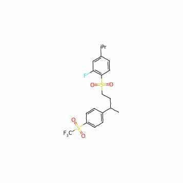 CC(C)c1ccc(S(=O)(=O)CCC(C)c2ccc(S(=O)(=O)C(F)(F)F)cc2)c(F)c1